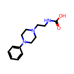 O=C(O)NCCN1CCN(c2ccccc2)CC1